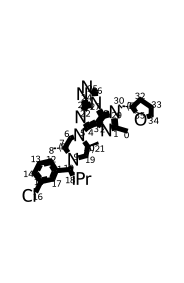 Cc1nc2c(N3C[C@@H](C)N(C(c4cccc(Cl)c4)C(C)C)C[C@@H]3C)nc3nncn3c2n1C[C@@H]1CCCO1